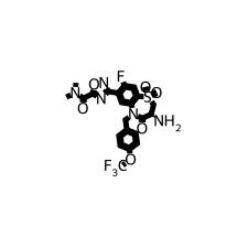 CN(C)C(=O)c1nc(-c2cc3c(cc2F)S(=O)(=O)C[C@H](N)C(=O)N3Cc2ccc(OC(F)(F)F)cc2)no1